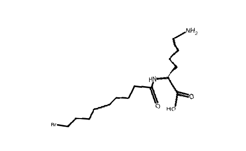 NCCCC[C@H](NC(=O)CCCCCCCCBr)C(=O)O